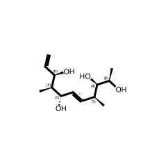 C=C[C@@H](O)[C@H](C)[C@@H](O)/C=C/[C@H](C)[C@@H](O)[C@@H](C)O